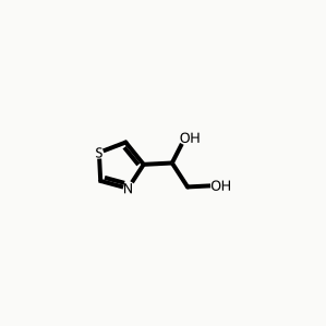 OCC(O)c1cscn1